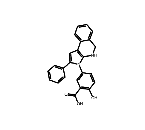 O=C(O)c1cc(-n2c(-c3ccccc3)cc3c2NCc2ccccc2-3)ccc1O